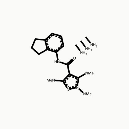 CN.CN.CN.CNc1nn(NC)c(NC)c1C(=O)Nc1cccc2c1CCC2